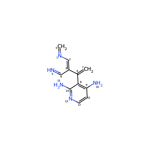 C=N/C=C(\C=N)C(=C)c1c(N)ccnc1N